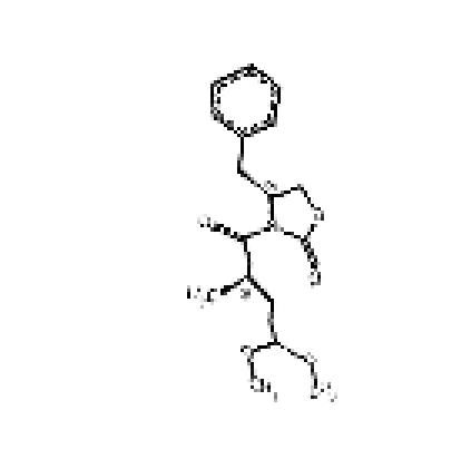 COC(C[C@@H](C)C(=O)N1C(=O)OC[C@@H]1Cc1ccccc1)OC